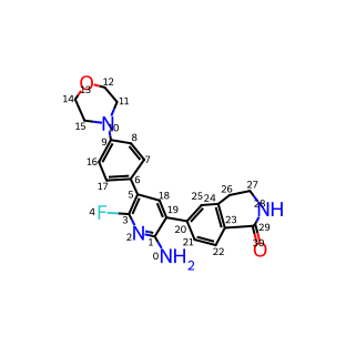 Nc1nc(F)c(-c2ccc(N3CCOCC3)cc2)cc1-c1ccc2c(c1)CCNC2=O